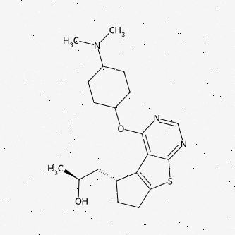 C[C@H](O)C[C@H]1CCc2sc3ncnc(OC4CCC(N(C)C)CC4)c3c21